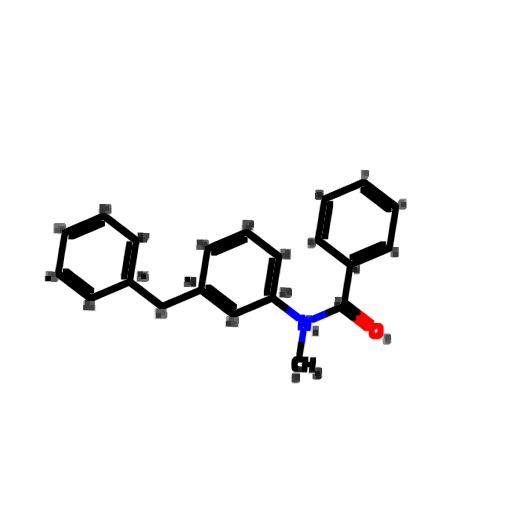 CN(C(=O)c1ccccc1)c1cccc(Cc2ccccc2)c1